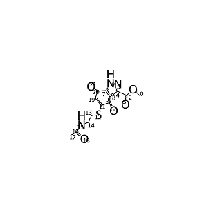 COC(=O)c1n[nH]c2c1C(=O)C(SCCNC(C)=O)=CC2=O